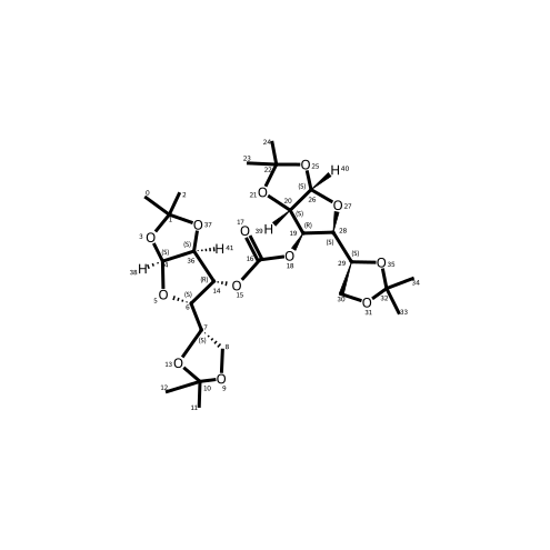 CC1(C)O[C@@H]2O[C@@H]([C@@H]3COC(C)(C)O3)[C@@H](OC(=O)O[C@H]3[C@@H]4OC(C)(C)O[C@@H]4O[C@H]3[C@@H]3COC(C)(C)O3)[C@@H]2O1